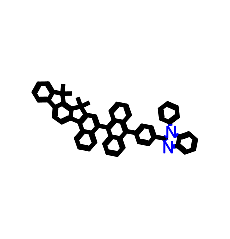 CC1(C)c2ccccc2-c2ccc3c(c21)C(C)(C)c1cc(-c2c4ccccc4c(-c4ccc(-c5nc6ccccc6n5-c5ccccc5)cc4)c4ccccc24)c2ccccc2c1-3